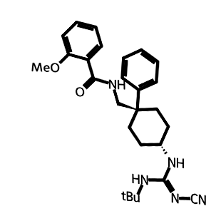 COc1ccccc1C(=O)NC[C@]1(c2ccccc2)CC[C@@H](N/C(=N\C#N)NC(C)(C)C)CC1